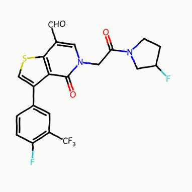 O=Cc1cn(CC(=O)N2CCC(F)C2)c(=O)c2c(-c3ccc(F)c(C(F)(F)F)c3)csc12